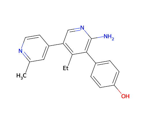 CCc1c(-c2ccnc(C)c2)cnc(N)c1-c1ccc(O)cc1